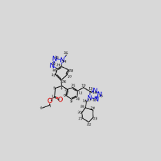 CCOC(=O)CC(c1cccc(Cc2nnnn2CC2CCCCC2)c1)c1ccc2c(c1)nnn2C